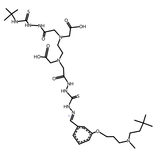 CN(CCCOc1cccc(/C=N/NC(=S)NNC(=O)CN(CCN(CC(=O)O)CC(=O)NNC(=S)NC(C)(C)C)CC(=O)O)c1)CCC(C)(C)C